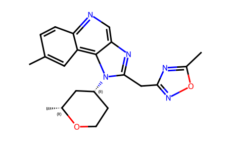 Cc1ccc2ncc3nc(Cc4noc(C)n4)n([C@@H]4CCO[C@H](C)C4)c3c2c1